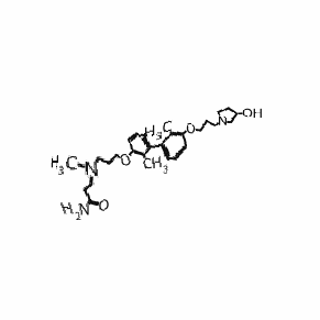 Cc1c(OCCCN(C)CCC(N)=O)cccc1-c1cccc(OCCCN2CCC(O)C2)c1C